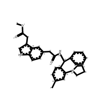 COC(=O)Cc1c[nH]c2ccc(CC(=O)NC(c3ccccc3)c3ccc(C)cc3N3CCCC3)cc12